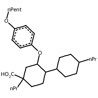 CCCCCOc1ccc(OC2CC(CCC)(C(=O)O)CCC2C2CCC(CCC)CC2)cc1